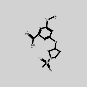 CC(C)Oc1cc(OC2CCN(S(C)(=O)=O)C2)cc(C(=N)N)c1